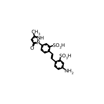 Cc1cc(=O)n(-c2ccc(C=Cc3ccc(N)cc3S(=O)(=O)O)c(S(=O)(=O)O)c2)[nH]1